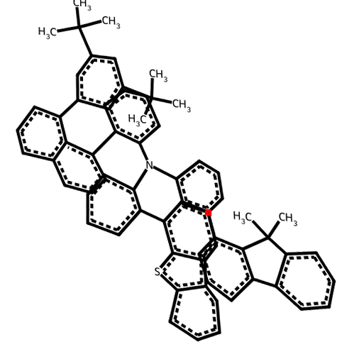 CC(C)(C)c1cc(-c2cccc3cccc(-c4ccccc4N(c4cccc(-c5cccc6c5C(C)(C)c5ccccc5-6)c4)c4ccccc4-c4cccc5c4sc4ccccc45)c23)cc(C(C)(C)C)c1